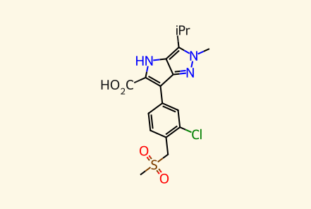 CC(C)c1c2[nH]c(C(=O)O)c(-c3ccc(CS(C)(=O)=O)c(Cl)c3)c2nn1C